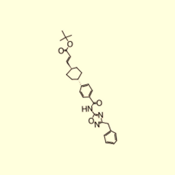 CC(C)(C)OC(=O)/C=C/[C@H]1CC[C@H](c2ccc(C(=O)Nc3nc(Cc4ccccc4)no3)cc2)CC1